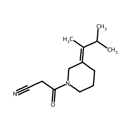 C/C(=C1/CCCN(C(=O)CC#N)C1)C(C)C